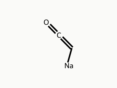 O=C=[CH][Na]